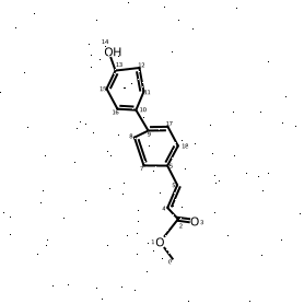 COC(=O)C=Cc1ccc(-c2ccc(O)cc2)cc1